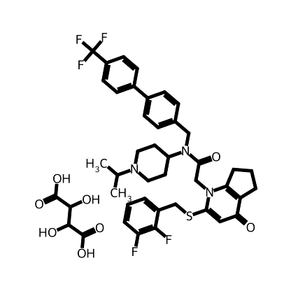 CC(C)N1CCC(N(Cc2ccc(-c3ccc(C(F)(F)F)cc3)cc2)C(=O)Cn2c(SCc3cccc(F)c3F)cc(=O)c3c2CCC3)CC1.O=C(O)C(O)C(O)C(=O)O